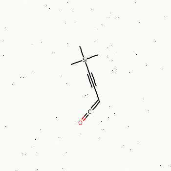 C[Si](C)(C)C#CC=C=O